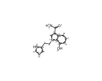 NC(=O)c1cn(CCc2cnc[nH]2)c2c(O)cccc12